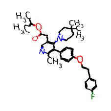 Cc1ncc(CC(=O)OC(C)C)c(N2CCC(C)(C)CC2)c1-c1ccc(OCCc2ccc(F)cc2)cc1